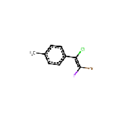 FC(F)(F)c1ccc(C(Cl)=C(Br)I)cc1